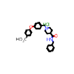 Cl.O=C(O)c1ccc(Oc2ccc(CN3CCC(C(=O)NCc4ccccc4)CC3)cc2)cc1